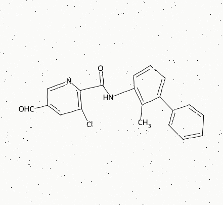 Cc1c(NC(=O)c2ncc(C=O)cc2Cl)cccc1-c1ccccc1